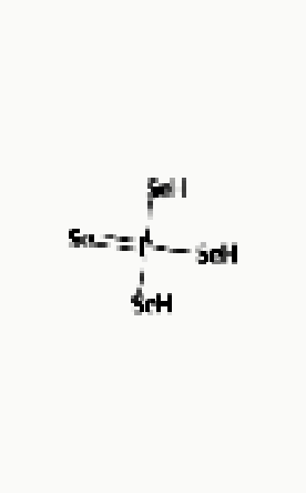 [Se]=P([SeH])([SeH])[SeH]